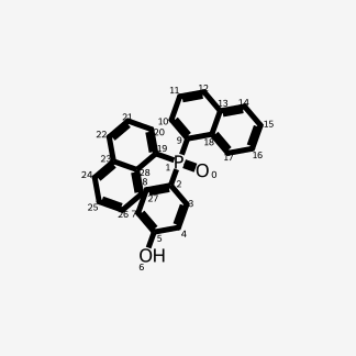 O=P(c1ccc(O)cc1)(c1cccc2ccccc12)c1cccc2ccccc12